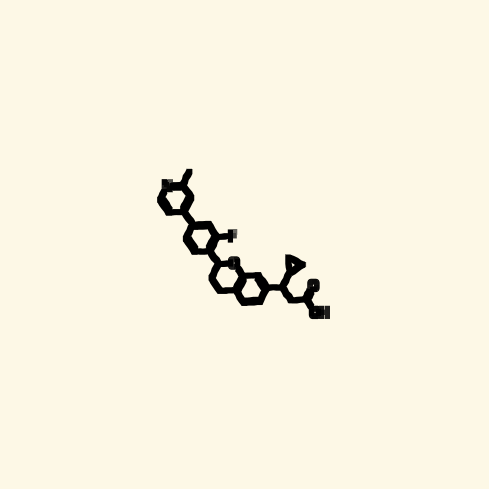 Cc1cc(-c2ccc(C3CCc4ccc(C(CC(=O)O)C5CC5)cc4O3)c(F)c2)ccn1